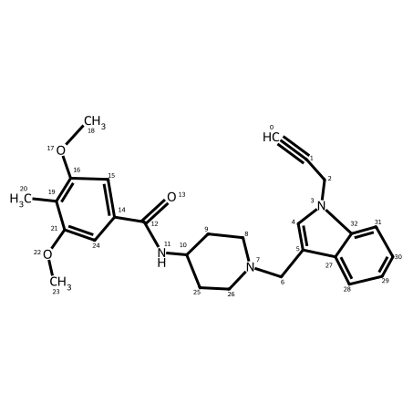 C#CCn1cc(CN2CCC(NC(=O)c3cc(OC)c(C)c(OC)c3)CC2)c2ccccc21